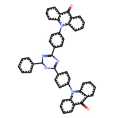 O=c1c2ccccc2n(-c2ccc(C3=NC(c4ccccc4)NC(c4ccc(-n5c6ccccc6c(=O)c6ccccc65)cc4)=N3)cc2)c2ccccc12